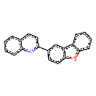 c1ccc2nc(-c3ccc4oc5ccccc5c4c3)ccc2c1